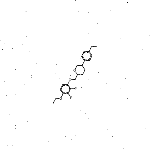 CCOc1ccc(OCC2CCC(c3ccc(CC)cc3)CO2)c(F)c1F